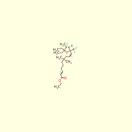 CCOC(=O)/C=C/CCCC(C)(C)C/C=C\C(O[Si](CC)(CC)CC)(C(F)(F)F)C(F)(F)F